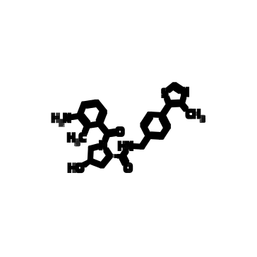 Cc1ncsc1-c1ccc(CNC(=O)[C@@H]2C[C@@H](O)CN2C(=O)c2cccc(N)c2C)cc1